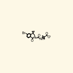 COC(=O)C12CC1(NC(=O)CN1CC3(CC3)c3cc(Br)ccc3C1=O)C2